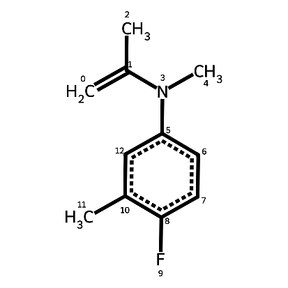 C=C(C)N(C)c1ccc(F)c(C)c1